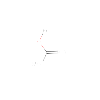 [CH]=C(OC)OCC